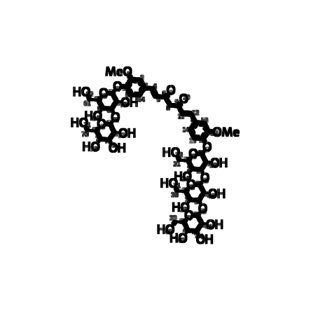 COc1cc(/C=C/C(=O)CC(=O)/C=C/c2ccc(O[C@@H]3O[C@H](CO)[C@@H](O)[C@H](O[C@@H]4O[C@H](CO)[C@@H](O)[C@H](O[C@@H]5O[C@H](CO)[C@@H](O)[C@H](O)[C@H]5O)[C@H]4O)[C@H]3O)c(OC)c2)ccc1O[C@@H]1O[C@H](CO)[C@@H](O)[C@H](O[C@@H]2O[C@H](CO)[C@@H](O)[C@H](O)[C@H]2O)[C@H]1O